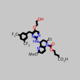 CC[C@@H]1C[C@H](Nc2ncc(OCCO)c(Cc3cc(C(F)(F)F)cc(C(F)(F)F)c3)n2)c2nc(OC)ccc2N1C(=O)OCCCC(=O)O